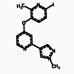 Cc1nc(I)ccc1Oc1ccnc(-c2cnn(C)c2)c1